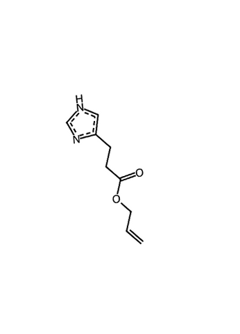 C=CCOC(=O)CCc1c[nH]cn1